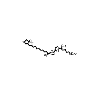 CCCCCCCCCCCCCC[C@@H](O)[C@H]1CC[C@H]([C@H]2CC[C@H]([C@H]([18F])CCCCCCCC[C@@H]([18F])CC3=C[C@H](C)CC3=O)O2)O1